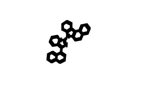 C1=Cc2c(n(-c3nc(-c4cccc5ccccc45)c4ccccn34)c3ccc4ccccc4c23)CC1